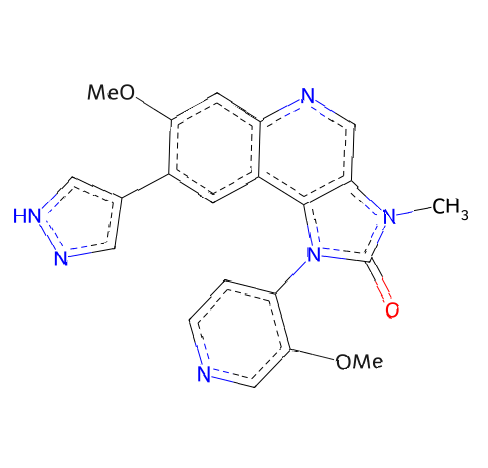 COc1cc2ncc3c(c2cc1-c1cn[nH]c1)n(-c1ccncc1OC)c(=O)n3C